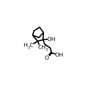 CC1(C)C2CCC(C2)C1(O)CCC(=O)O